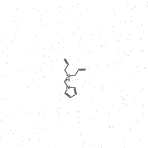 C=CC[SiH](CC=C)Cn1cccc1